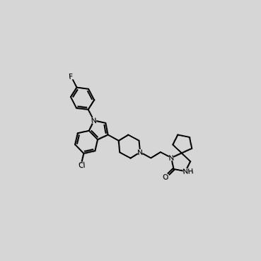 O=C1NCC2(CCCC2)N1CCN1CCC(c2cn(-c3ccc(F)cc3)c3ccc(Cl)cc23)CC1